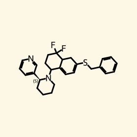 FC1(F)CCC(N2CCCC[C@H]2c2cccnc2)C2=CC=C(SCc3ccccc3)CC21